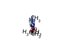 Cc1nsc(N2CC3CC2CN3C(=O)OC(C)(C)C)n1